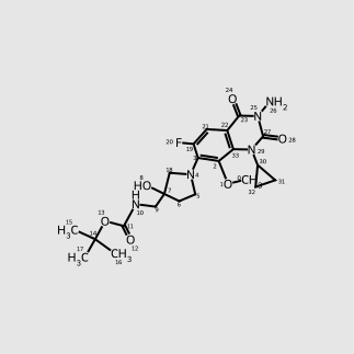 COc1c(N2CCC(O)(CNC(=O)OC(C)(C)C)C2)c(F)cc2c(=O)n(N)c(=O)n(C3CC3)c12